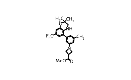 COC(=O)C1CN(c2cc(C)cc(-c3cc(C(F)(F)F)cc4c3NCC(C)(C)O4)c2)C1